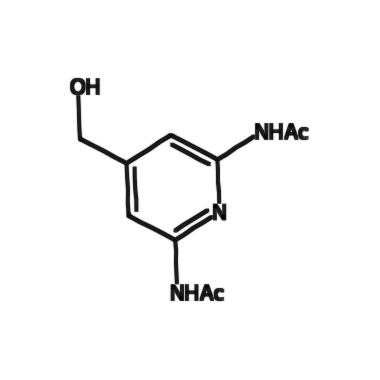 CC(=O)Nc1cc(CO)cc(NC(C)=O)n1